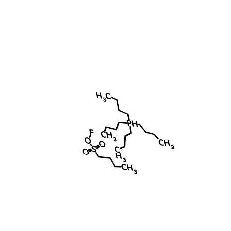 CCCCS(=O)(=O)OF.CCCC[PH](CCCC)(CCCC)CCCC